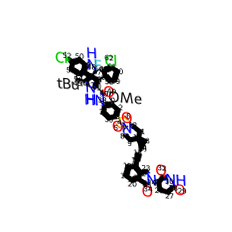 COc1cc(S(=O)(=O)N2CCC3(CC2)C[C@@H]3C#Cc2cccc3c2CN(C2CCC(=O)NC2=O)C3=O)ccc1NC(=O)[C@@H]1N[C@@H](CC(C)(C)C)[C@@]2(CNc3cc(Cl)ccc32)[C@H]1c1cccc(Cl)c1F